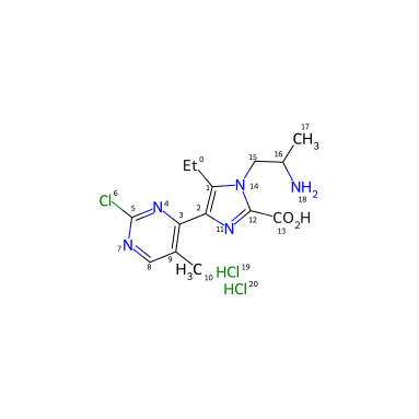 CCc1c(-c2nc(Cl)ncc2C)nc(C(=O)O)n1CC(C)N.Cl.Cl